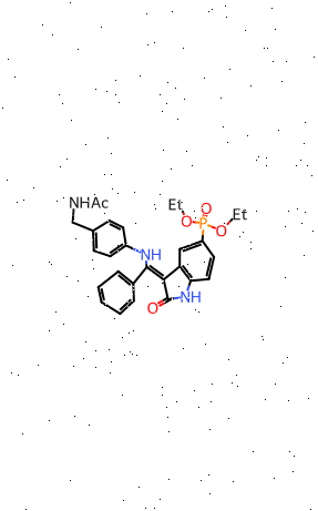 CCOP(=O)(OCC)c1ccc2c(c1)C(=C(Nc1ccc(CNC(C)=O)cc1)c1ccccc1)C(=O)N2